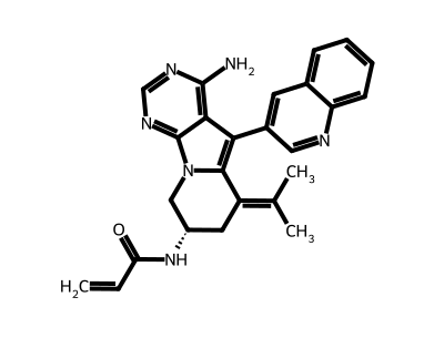 C=CC(=O)N[C@H]1CC(=C(C)C)c2c(-c3cnc4ccccc4c3)c3c(N)ncnc3n2C1